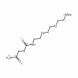 CNCCOCCOCCNC(=O)CCC(N)=O